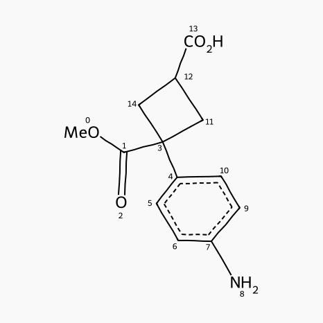 COC(=O)C1(c2ccc(N)cc2)CC(C(=O)O)C1